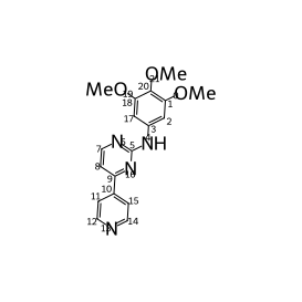 COc1cc(Nc2nccc(-c3ccncc3)n2)cc(OC)c1OC